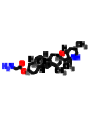 CC1=C2C[C@H]3[C@@H](CC[C@@H]4C[C@@H](OC(=O)CN)CC[C@@]43C)[C@@H]2CC[C@@]2(C1)O[C@@H]1C[C@H](C)CN[C@H]1[C@H]2C